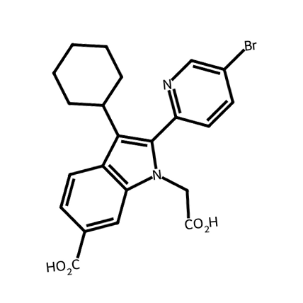 O=C(O)Cn1c(-c2ccc(Br)cn2)c(C2CCCCC2)c2ccc(C(=O)O)cc21